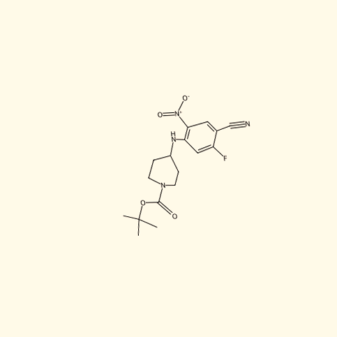 CC(C)(C)OC(=O)N1CCC(Nc2cc(F)c(C#N)cc2[N+](=O)[O-])CC1